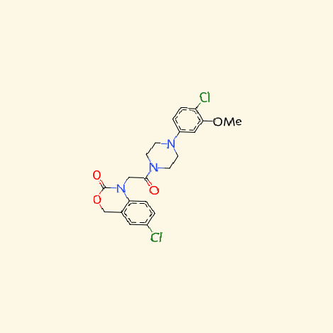 COc1cc(N2CCN(C(=O)CN3C(=O)OCc4cc(Cl)ccc43)CC2)ccc1Cl